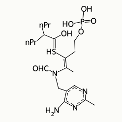 CCCC(CCC)/C(O)=[SH]/C(CCOP(=O)(O)O)=C(/C)N(C=O)Cc1cnc(C)nc1N